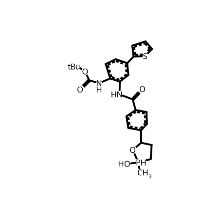 CC(C)(C)OC(=O)Nc1ccc(-c2cccs2)cc1NC(=O)c1ccc(C2CC[PH](C)(O)O2)cc1